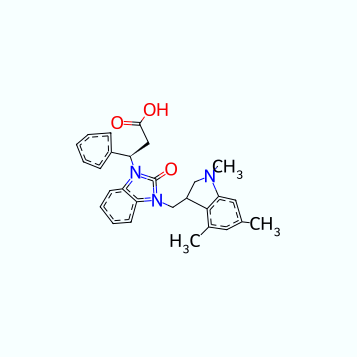 Cc1cc(C)c2c(c1)N(C)CC2Cn1c(=O)n([C@H](CC(=O)O)c2ccccc2)c2ccccc21